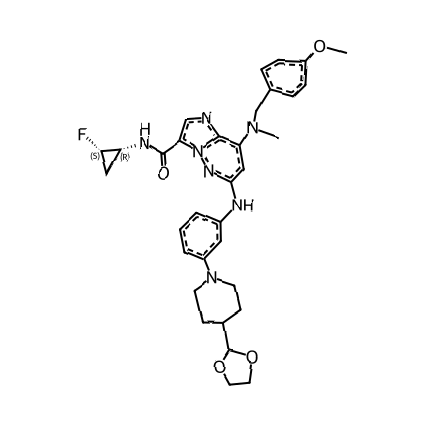 COc1ccc(CN(C)c2cc(Nc3cccc(N4CCC(C5OCCO5)CC4)c3)nn3c(C(=O)N[C@@H]4C[C@@H]4F)cnc23)cc1